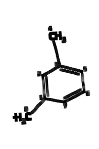 [CH2]c1[c]c(C)ccc1